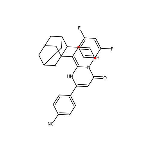 N#Cc1ccc(C2=CC(=O)N3NC=CC(C45CC6CC(CC(C6)C4c4ccc(F)cc4F)C5)=C3N2)cc1